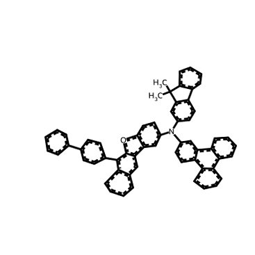 CC1(C)c2ccccc2-c2ccc(N(c3ccc4oc5c(-c6ccc(-c7ccccc7)cc6)c6ccccc6cc5c4c3)c3ccc4c5ccccc5c5ccccc5c4c3)cc21